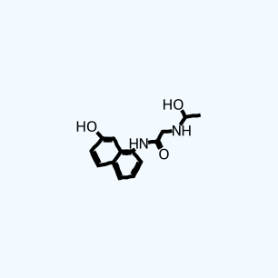 CC(O)NCC(=O)Nc1cccc2ccc(O)cc12